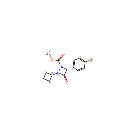 CC(C)(C)OC(=O)N1[C@H](c2ccc(Br)cc2)C(=O)N1C1CCC1